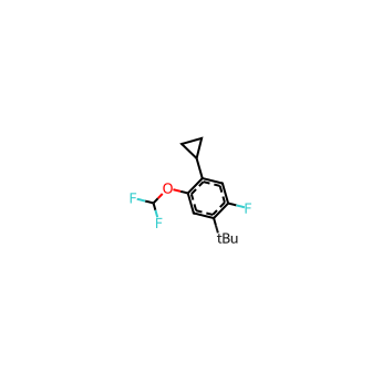 CC(C)(C)c1cc(OC(F)F)c(C2CC2)cc1F